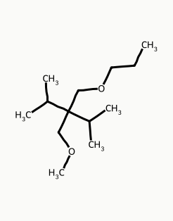 CCCOCC(COC)(C(C)C)C(C)C